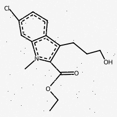 CCOC(=O)c1c(CCCO)c2ccc(Cl)cc2n1C